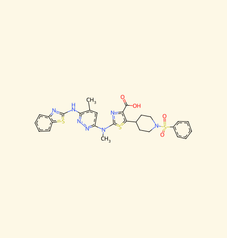 Cc1cc(N(C)c2nc(C(=O)O)c(C3CCN(S(=O)(=O)c4ccccc4)CC3)s2)nnc1Nc1nc2ccccc2s1